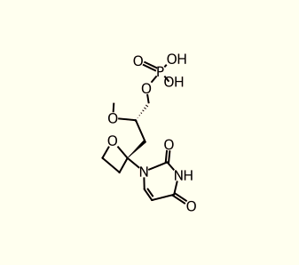 CO[C@H](COP(=O)(O)O)C[C@@]1(n2ccc(=O)[nH]c2=O)CCO1